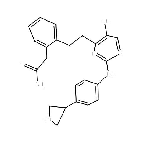 Cc1cnc(Nc2ccc(C3CNC3)cc2)nc1CCc1ccccc1CC(N)=O